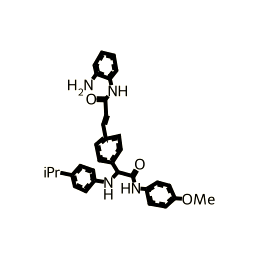 COc1ccc(NC(=O)C(Nc2ccc(C(C)C)cc2)c2ccc(C=CC(=O)Nc3ccccc3N)cc2)cc1